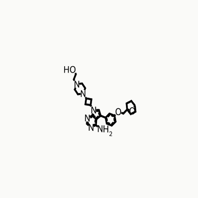 Nc1ncnc2c1c(-c1cccc(OCC34CCC(CC3)O4)c1)cn2C1CC(N2CCN(CCO)CC2)C1